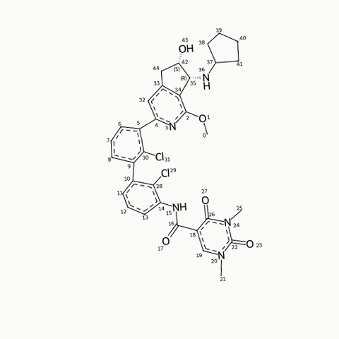 COc1nc(-c2cccc(-c3cccc(NC(=O)c4cn(C)c(=O)n(C)c4=O)c3Cl)c2Cl)cc2c1[C@@H](NC1CCCC1)[C@@H](O)C2